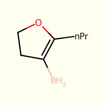 BC1=C(CCC)OCC1